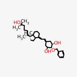 C[C@H](CCCC(C)(C)O)[C@H]1CCC2/C(=C/C=C3\CC(O)[C@@H](OCc4ccccc4)[C@H](O)C3)CCC[C@@]21C